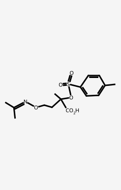 CC(C)=NOCCC(C)(OS(=O)(=O)c1ccc(C)cc1)C(=O)O